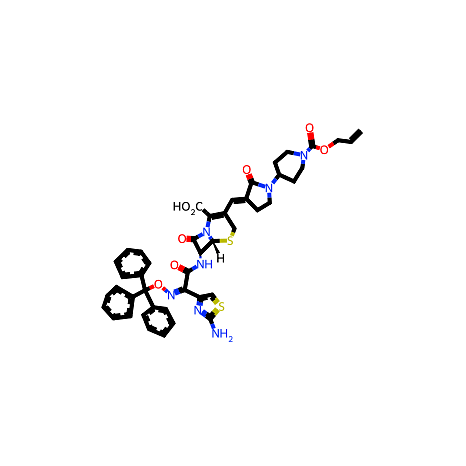 C=CCOC(=O)N1CCC(N2CC/C(=C\C3=C(C(=O)O)N4C(=O)[C@@H](NC(=O)/C(=N\OC(c5ccccc5)(c5ccccc5)c5ccccc5)c5csc(N)n5)[C@H]4SC3)C2=O)CC1